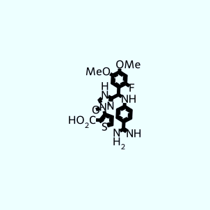 COc1cc(F)c(C(Nc2ccc(C(=N)N)cc2)C2=N[N+]([O-])(c3ccsc3C(=O)O)CN2)cc1OC